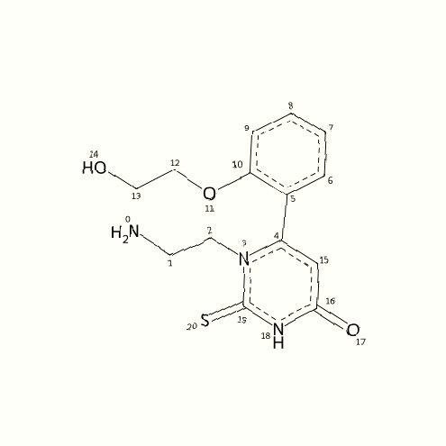 NCCn1c(-c2ccccc2OCCO)cc(=O)[nH]c1=S